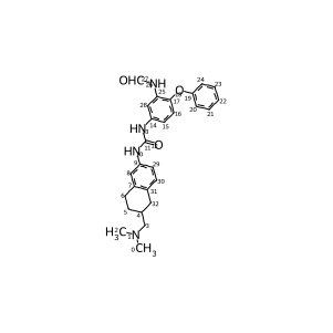 CN(C)CC1CCc2cc(NC(=O)Nc3ccc(Oc4ccccc4)c(NC=O)c3)ccc2C1